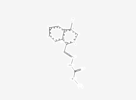 CNC(=S)N/N=C/c1ncc(F)c2ccccc12